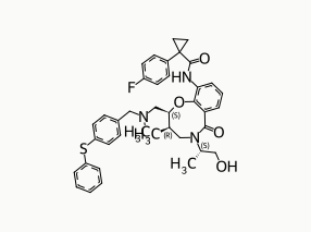 C[C@@H]1CN([C@@H](C)CO)C(=O)c2cccc(NC(=O)C3(c4ccc(F)cc4)CC3)c2O[C@@H]1CN(C)Cc1ccc(Sc2ccccc2)cc1